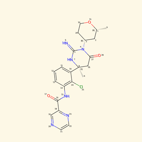 C[C@@H]1C[C@H](N2C(=N)N[C@](C)(c3cccc(NC(=O)c4cnccn4)c3Cl)CC2=O)CCO1